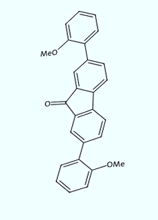 COc1ccccc1-c1ccc2c(c1)C(=O)c1cc(-c3ccccc3OC)ccc1-2